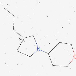 CCC[C@H]1CCN(C2CCOCC2)C1